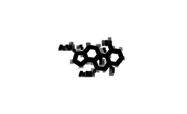 CC(=O)N[C@H]1C[C@@H]2CCC=C(O)[C@]2(C)[C@H]2CC[C@@]3(C)C(=C12)CC[C@@H]3NC(C)=O